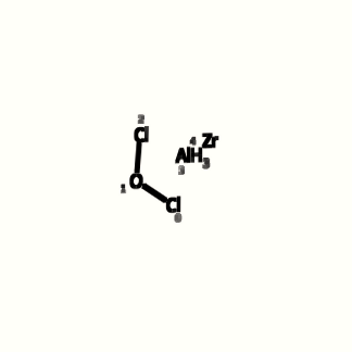 ClOCl.[AlH3].[Zr]